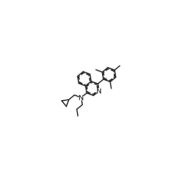 CCCN(CC1CC1)c1cnc(-c2c(C)cc(C)cc2C)c2ccccc12